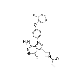 C=CC(=O)N1CC(c2cn(-c3ccc(Oc4ccccc4F)cc3)c3c(N)n[nH]c(=O)c23)C1